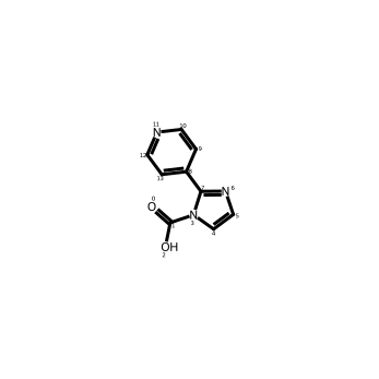 O=C(O)n1ccnc1-c1ccncc1